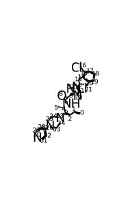 C=C/C=C(\[C@@H](C)NC(=O)c1ncn(Cc2c(Cl)cccc2Cl)n1)N1CCN(c2ccncc2)CC1